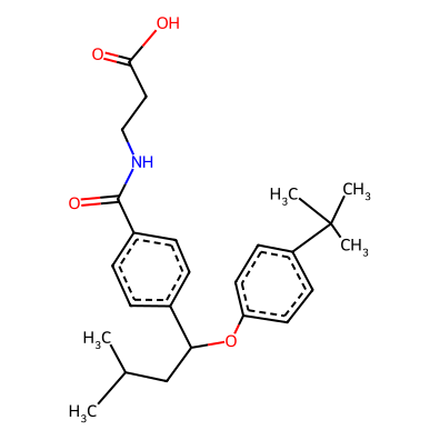 CC(C)CC(Oc1ccc(C(C)(C)C)cc1)c1ccc(C(=O)NCCC(=O)O)cc1